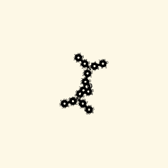 c1ccc(-c2ccc(N(c3ccc(-c4ccccc4)cc3)c3ccc(-c4ccc5c(c4)Oc4cccc6c4c-5cc4ccc(N(c5ccc(-c7ccccc7)cc5)c5ccc(-c7ccccc7)cc5)cc46)cc3)cc2)cc1